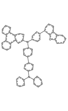 c1ccc(N(c2ccccc2)c2ccc(-c3ccc(N(c4ccc(-c5cccc6c5oc5ccccc56)cc4)c4ccc5c6ccccc6c6ccccc6c5c4)cc3)cc2)cc1